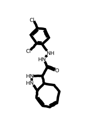 O=C(NNc1ccc(Cl)cc1Cl)C1NNC2/C=C\C=C/CCC21